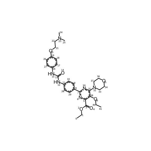 CCOC(=O)c1nc(-c2ccc(NC(=O)Nc3ccc(OCCN(C)C)cc3)cc2)nc(N2CCOCC2)c1OCC